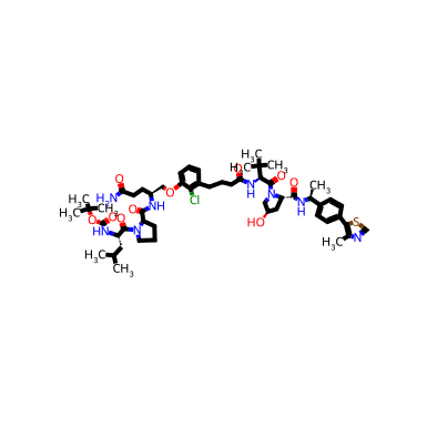 Cc1ncsc1-c1ccc([C@H](C)NC(=O)[C@@H]2C[C@@H](O)CN2C(=O)[C@@H](NC(=O)CCCc2cccc(OC[C@H](CCC(N)=O)NC(=O)C3CCCN3C(=O)[C@H](CC(C)C)NC(=O)OC(C)(C)C)c2Cl)C(C)(C)C)cc1